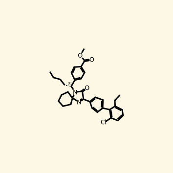 CCCC[C@H](c1ccc(C(=O)OC)cc1)N1C(=O)C(c2ccc(-c3c(Cl)cccc3CC)cc2)=NC12CCCCC2